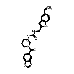 C=Cc1ccc2[nH]c(CNC(=O)N[C@@H]3CCCN(C(=O)c4ccc5ocnc5c4)C3)cc2c1